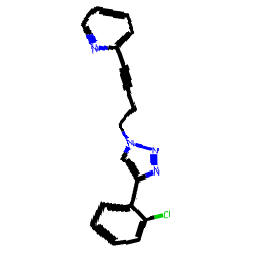 Clc1ccccc1-c1cn(CCC#Cc2ccccn2)nn1